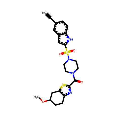 C#Cc1ccc2[nH]c(S(=O)(=O)N3CCN(C(=O)c4nc5c(s4)CC(OC)CC5)CC3)cc2c1